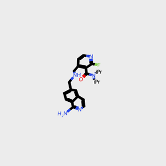 CC(C)N(C(=O)c1c(CNCc2ccc3c(N)nccc3c2)ccnc1F)C(C)C